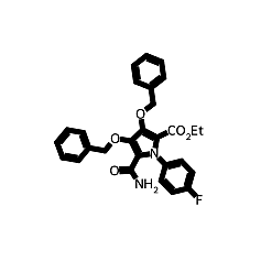 CCOC(=O)c1c(OCc2ccccc2)c(OCc2ccccc2)c(C(N)=O)n1-c1ccc(F)cc1